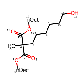 CCCCCCCCCCOC(=O)C(C)(CCCCCCO)C(=O)OCCCCCCCC